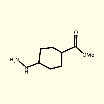 COC(=O)C1CCC(NN)CC1